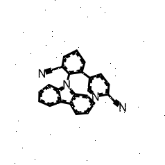 N#Cc1ccc(-c2cccc(C#N)c2-n2c3ccccc3c3ccccc32)cn1